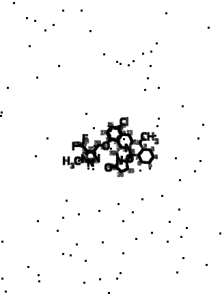 CC[C@H]1CCCC[C@H]1C(=O)N1CCc2c(Cl)ccc(OCc3nnn(C)c3C(F)F)c2[C@H]1CN1CCCC1=O